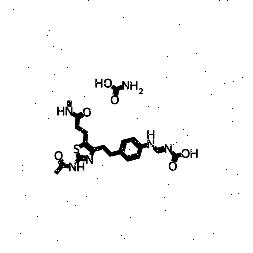 CNC(=O)CCc1sc(NC(C)=O)nc1CCc1ccc(NC=NC(=O)O)cc1.NC(=O)O